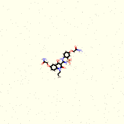 CC(C)CCn1c(=O)c(C2=NS(=O)(=O)c3cc(OCC(N)=O)ccc3N2)c(O)c2cc(OCC(N)=O)ccc21